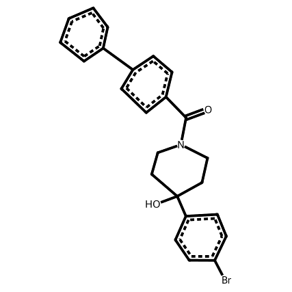 O=C(c1ccc(-c2ccccc2)cc1)N1CCC(O)(c2ccc(Br)cc2)CC1